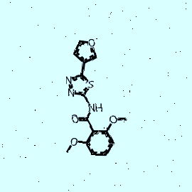 COc1cccc(OC)c1C(=O)Nc1nnc(-c2ccoc2)s1